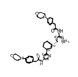 N/N=C(/NC(=O)Cc1ccc(N2CCOCC2)cc1)SC[C@H]1CCC[C@H](c2nnc(NC(=O)Cc3ccc(N4CCOCC4)cc3)s2)C1